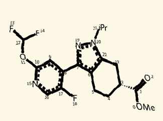 COC(=O)[C@@H]1CCc2c(-c3cc(OC(F)F)ncc3F)nn(C(C)C)c2C1